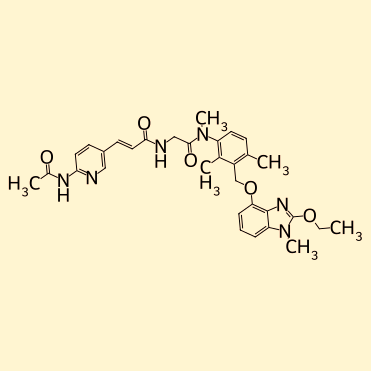 CCOc1nc2c(OCc3c(C)ccc(N(C)C(=O)CNC(=O)/C=C/c4ccc(NC(C)=O)nc4)c3C)cccc2n1C